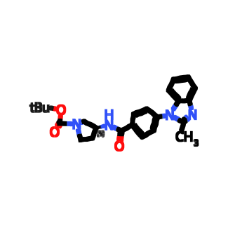 Cc1nc2ccccc2n1-c1ccc(C(=O)N[C@H]2CCN(C(=O)OC(C)(C)C)C2)cc1